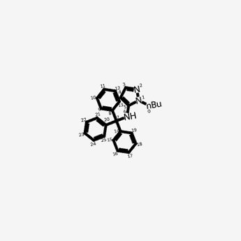 CCCCn1nccc1NC(c1ccccc1)(c1ccccc1)c1ccccc1